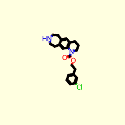 O=C(OCCc1cccc(Cl)c1)N1CCCc2cc3c(cc21)CCNCC3